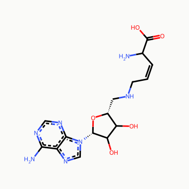 Nc1ncnc2c1ncn2[C@@H]1O[C@H](CNC/C=C\C(N)C(=O)O)C(O)C1O